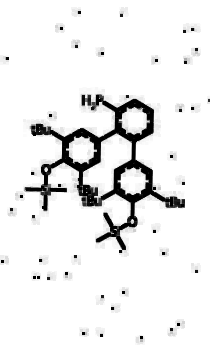 CC(C)(C)c1cc(-c2cccc(P)c2-c2cc(C(C)(C)C)c(O[Si](C)(C)C)c(C(C)(C)C)c2)cc(C(C)(C)C)c1O[Si](C)(C)C